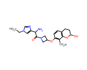 NC(C(=O)N1CC(Oc2ccc3c(c2C(=O)O)OB(O)CC3)C1)c1cn(CC(=O)O)cn1